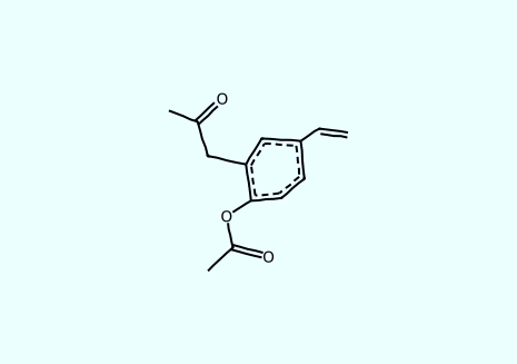 C=Cc1ccc(OC(C)=O)c(CC(C)=O)c1